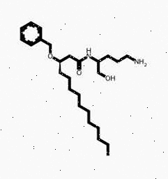 CCCCCCCCCCC[C@H](CC(=O)NC(CO)CCCN)OCc1ccccc1